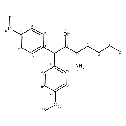 CCCCC(N)C(O)C(c1ccc(OC)cc1)c1ccc(OC)cc1